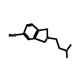 COc1ccc2c(c1)CN(CCN(C)C)C2